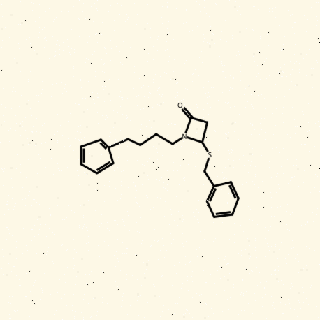 O=C1CC(SCc2ccccc2)N1CCCCc1ccccc1